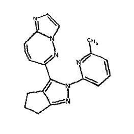 Cc1cccc(-n2nc3c(c2-c2ccc4nccn4n2)CCC3)n1